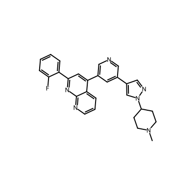 CN1CCC(n2cc(-c3cncc(-c4cc(-c5ccccc5F)nc5ncccc45)c3)cn2)CC1